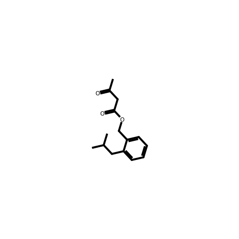 CC(=O)CC(=O)OCc1ccccc1CC(C)C